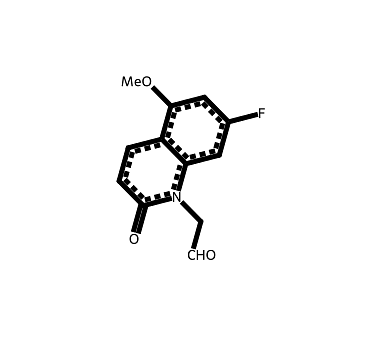 COc1cc(F)cc2c1ccc(=O)n2CC=O